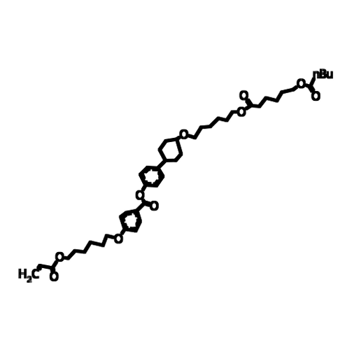 C=CC(=O)OCCCCCCOc1ccc(C(=O)Oc2ccc(C3CCC(OCCCCCCOC(=O)CCCCCOC(=O)CCCC)CC3)cc2)cc1